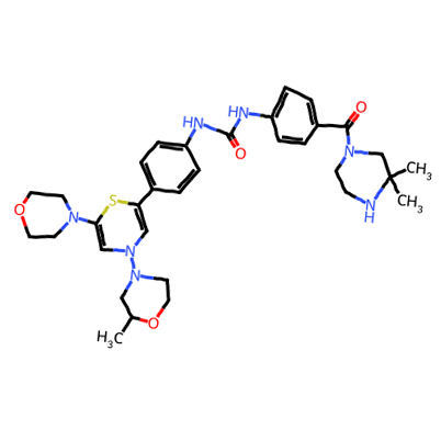 CC1CN(N2C=C(c3ccc(NC(=O)Nc4ccc(C(=O)N5CCNC(C)(C)C5)cc4)cc3)SC(N3CCOCC3)=C2)CCO1